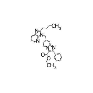 CCCCc1nc2cccnc2n1Cc1ccn2c(C(=O)OCC)c(-c3ccccc3)nc2c1